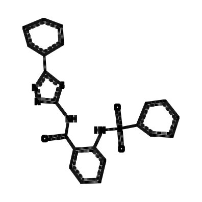 O=C(Nc1nnc(-c2ccccc2)s1)c1ccccc1NS(=O)(=O)c1ccccc1